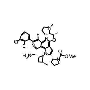 COC(=O)N1CCC[C@@H]1c1cc2c(O[C@@H](C)[C@@H]3CCCN3C)nc3c(F)c(-c4cccc(Cl)c4Cl)ncc3c2n1[C@H]1[C@@H](CN)C[C@@H]1C